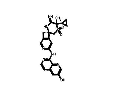 C[C@]1(C2CC2)C(=N)N[C@@]2(Cc3cnc(Nc4nccc5cc(O)cnc45)cc32)CS1(=O)=O